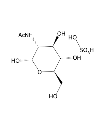 CC(=O)N[C@@H]1[C@@H](O)[C@H](O)[C@@H](CO)O[C@@H]1O.O=S(=O)(O)O